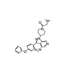 CN(C)CC(=O)N1CCC(n2nc(-c3ccc(Oc4ccccc4)cc3)c3c(N)cncc32)CC1